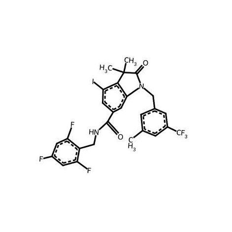 Cc1cc(CN2C(=O)C(C)(C)c3c(I)cc(C(=O)NCc4c(F)cc(F)cc4F)cc32)cc(C(F)(F)F)c1